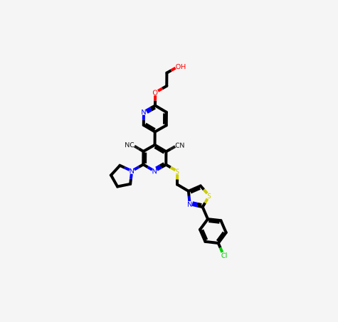 N#Cc1c(SCc2csc(-c3ccc(Cl)cc3)n2)nc(N2CCCC2)c(C#N)c1-c1ccc(OCCO)nc1